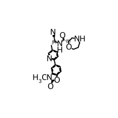 Cn1c(=O)oc2ccc(-c3ccc(C[C@H](C#N)NC(=O)[C@@H]4CNCCCO4)cn3)cc21